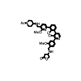 COc1cc(-c2nccc(-c3cccc(-c4ccc(CNC5CCN(C(C)=O)CC5)c(OC)n4)c3Cl)c2Cl)ccc1CNC1COC(=O)C1